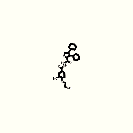 N#Cc1cc(C(=O)NNC(=O)c2occ(-c3ccccc3)c2-c2ccccc2)ccc1OCCO